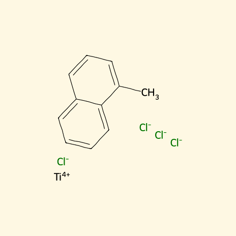 Cc1cccc2ccccc12.[Cl-].[Cl-].[Cl-].[Cl-].[Ti+4]